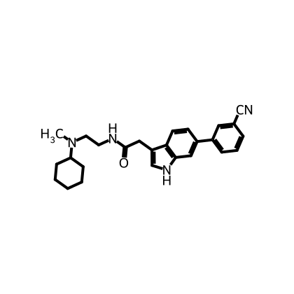 CN(CCNC(=O)Cc1c[nH]c2cc(-c3cccc(C#N)c3)ccc12)C1CCCCC1